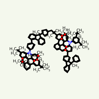 CC(C)(C)c1cc(-c2cccc3cccc(-c4ccccc4N(c4ccc(-c5cccc6c5-c5ccccc5C6(C)c5ccc(CC(C)(C)c6cc(-c7cccc8cccc(-c9ccccc9N(c9ccc(-c%10ccc%11c(c%10)C(C)(c%10ccccc%10)c%10ccccc%10-%11)cc9)c9cc(C(C)(C)C)cc(C(C)(C)C)c9)c78)cc(C(C)(C)C)c6)cc5)cc4)c4cc(C(C)(C)C)cc(C(C)(C)C)c4)c23)cc(C(C)(C)C)c1